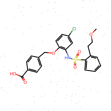 COCCc1ccccc1S(=O)(=O)Nc1cc(Cl)ccc1OCc1ccc(C(=O)O)cc1